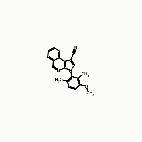 COc1ccc(C)c(-n2cc(C#N)c3c4ccccc4cnc32)c1C